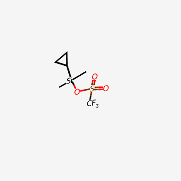 C[Si](C)(OS(=O)(=O)C(F)(F)F)C1CC1